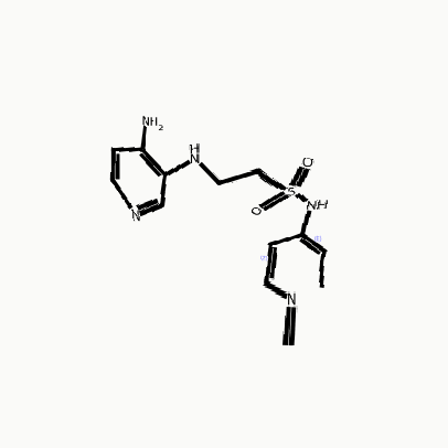 C=N/C=C\C(=C/C)NS(=O)(=O)CCNc1cnccc1N